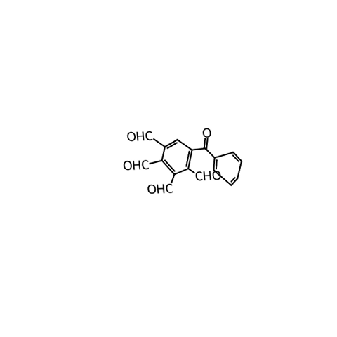 O=Cc1cc(C(=O)c2ccccc2)c(C=O)c(C=O)c1C=O